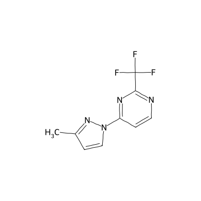 Cc1ccn(-c2ccnc(C(F)(F)F)n2)n1